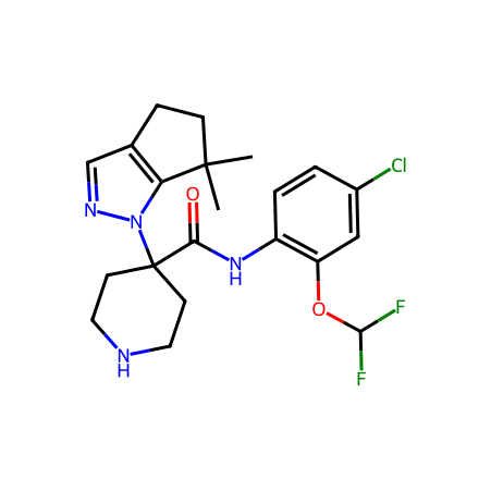 CC1(C)CCc2cnn(C3(C(=O)Nc4ccc(Cl)cc4OC(F)F)CCNCC3)c21